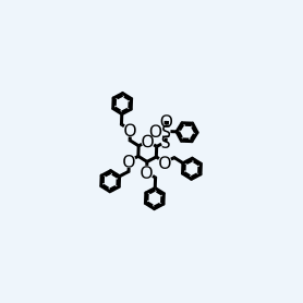 O=S(=O)(SC1OC(COCc2ccccc2)C(OCc2ccccc2)C(OCc2ccccc2)C1OCc1ccccc1)c1ccccc1